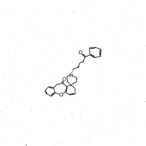 O=C1Cc2ccccc2OC2=C1C1(CC=C2)CCN(CCCCC(=O)c2ccccc2)CC1